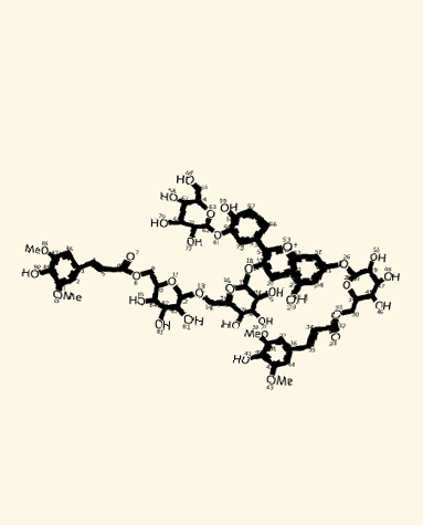 COc1cc(/C=C/C(=O)OCC2OC(OCC3OC(Oc4cc5c(O)cc(OC6OC(COC(=O)/C=C/c7cc(OC)c(O)c(OC)c7)C(O)C(O)C6O)cc5[o+]c4-c4ccc(O)c(OC5OC(CO)C(O)C(O)C5O)c4)C(O)C(O)C3O)C(O)C(O)C2O)cc(OC)c1O